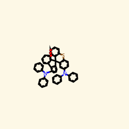 c1ccc(N(c2ccccc2)c2ccc3c(c2)C2(c4ccccc4-c4c(N(c5ccccc5)c5ccccc5)cccc42)c2c(ccc4ccccc24)S3)cc1